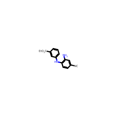 [C-]#[N+]c1ccc(Nc2cccc(C(=O)OCC)c2)c(N)c1